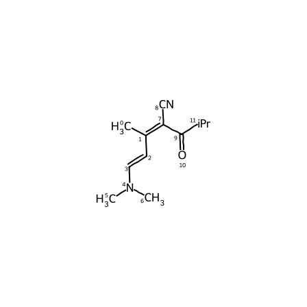 CC(/C=C/N(C)C)=C(\C#N)C(=O)C(C)C